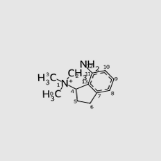 C[N+](C)(C)C1CCc2cccc(N)c21